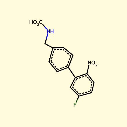 O=C(O)NCc1ccc(-c2cc(F)ccc2[N+](=O)[O-])cc1